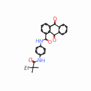 CCC(C)(C)C(=O)Nc1ccc(NC(=O)c2cccc3c2C(=O)c2ccccc2C3=O)cc1